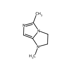 Cc1ncc2n1CCN2C